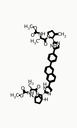 C=C1CCN(C(=O)[C@H](C)NC(=O)OC)[C@@H]1c1ncc(-c2ccc(-c3ccc4cc(-c5cnc([C@@H]6[C@H]7CC[C@H](C7)N6C(=O)[C@H](C)NC(=O)OC)[nH]5)ccc4c3)cc2)[nH]1